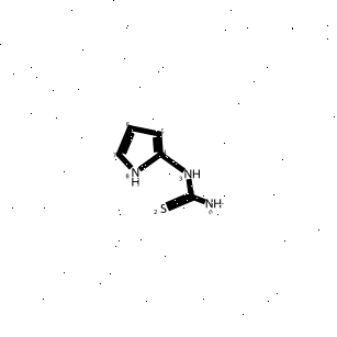 [NH]C(=S)Nc1ccc[nH]1